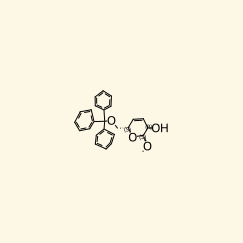 CO[C@H]1O[C@H](COC(c2ccccc2)(c2ccccc2)c2ccccc2)C=C[C@H]1O